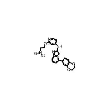 CCN(CC)CCOc1cc(Nc2nc3cccc(-c4ccc5c(c4)OCCO5)n3n2)ccn1